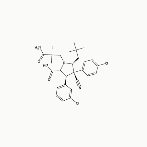 CC(C)(C)C[C@@H]1N(CC(C)(C)C(N)=O)[C@@H](C(=O)O)[C@H](c2cccc(Cl)c2)[C@@]1(C#N)c1ccc(Cl)cc1